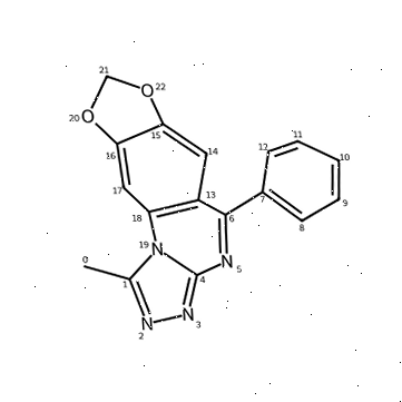 Cc1nnc2nc(-c3ccccc3)c3cc4c(cc3n12)OCO4